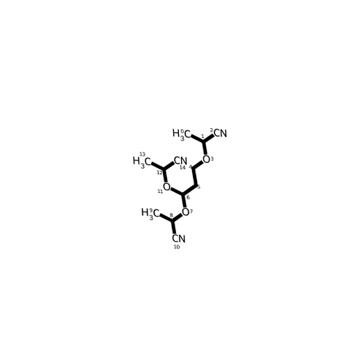 CC(C#N)OCCC(OC(C)C#N)OC(C)C#N